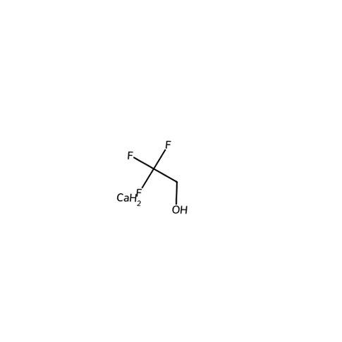 OCC(F)(F)F.[CaH2]